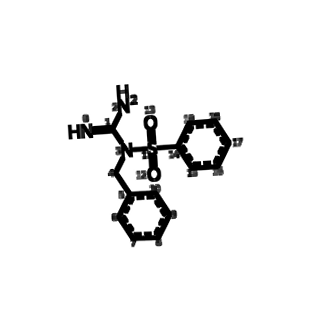 N=C(N)N(Cc1ccccc1)S(=O)(=O)c1ccccc1